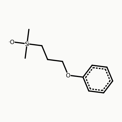 C[Si](C)([O])CCCOc1ccccc1